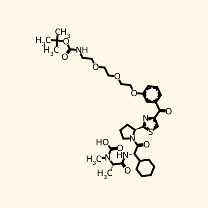 C[C@@H](C(=O)N[C@H](C(=O)N1CCC[C@H]1c1nc(C(=O)c2cccc(OCCOCCOCCNC(=O)OC(C)(C)C)c2)cs1)C1CCCCC1)N(C)C(=O)O